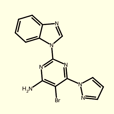 Nc1nc(-n2cnc3ccccc32)nc(-n2cccn2)c1Br